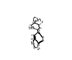 CC1CCC(c2ccc3scnc3c2)NC1